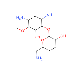 COC1C(N)CC(N)C(OC2OC(CN)CCC2O)C1O